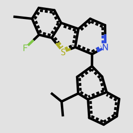 Cc1ccc2c(sc3c(-c4cc(C(C)C)c5ccccc5c4)nccc32)c1F